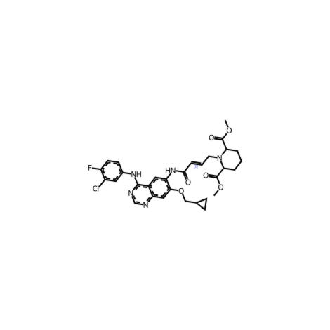 COC(=O)C1CCCC(C(=O)OC)N1C/C=C/C(=O)Nc1cc2c(Nc3ccc(F)c(Cl)c3)ncnc2cc1OCC1CC1